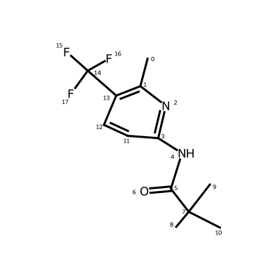 Cc1nc(NC(=O)C(C)(C)C)ccc1C(F)(F)F